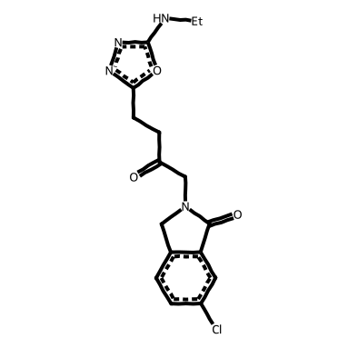 CCNc1nnc(CCC(=O)CN2Cc3ccc(Cl)cc3C2=O)o1